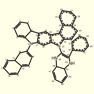 C1=CCC2C(=C1)N(C1=CC=C3C=CC=CC3C1)c1cc3c(cc12)c1c2ccccc2ccc1n3C1=C(c2ccccc2)NC2C=CC=CC2N1